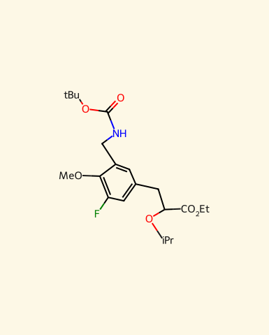 CCOC(=O)C(Cc1cc(F)c(OC)c(CNC(=O)OC(C)(C)C)c1)OC(C)C